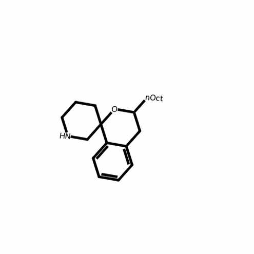 CCCCCCCCC1Cc2ccccc2C2(CCCNC2)O1